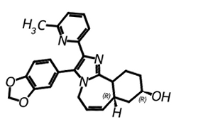 Cc1cccc(-c2nc3n(c2-c2ccc4c(c2)OCO4)CC=C[C@H]2C[C@H](O)CCC32)n1